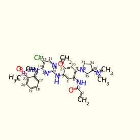 C=CC(=O)Nc1cc(Nc2ncc(Cl)c(Nc3ccccc3P(C)(C)=O)n2)c(OC)cc1N1CC[C@@H](N(C)C)C1